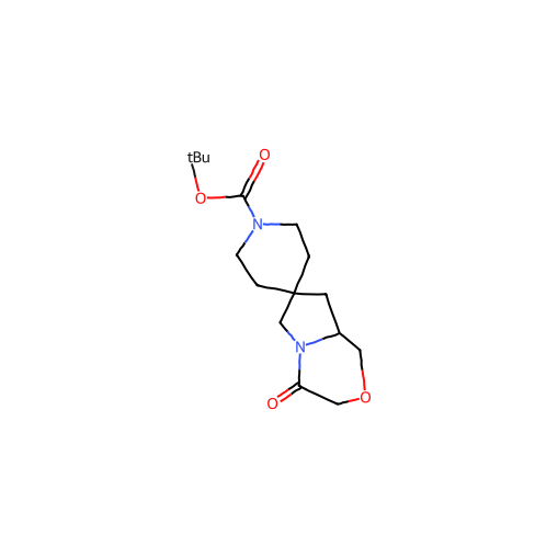 CC(C)(C)OC(=O)N1CCC2(CC1)CC1COCC(=O)N1C2